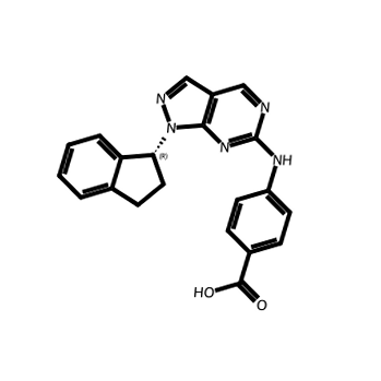 O=C(O)c1ccc(Nc2ncc3cnn([C@@H]4CCc5ccccc54)c3n2)cc1